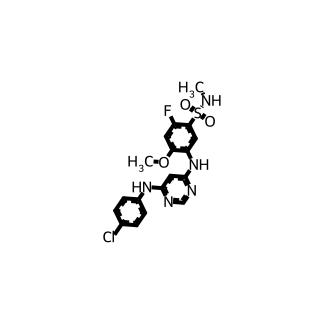 CNS(=O)(=O)c1cc(Nc2cc(Nc3ccc(Cl)cc3)ncn2)c(OC)cc1F